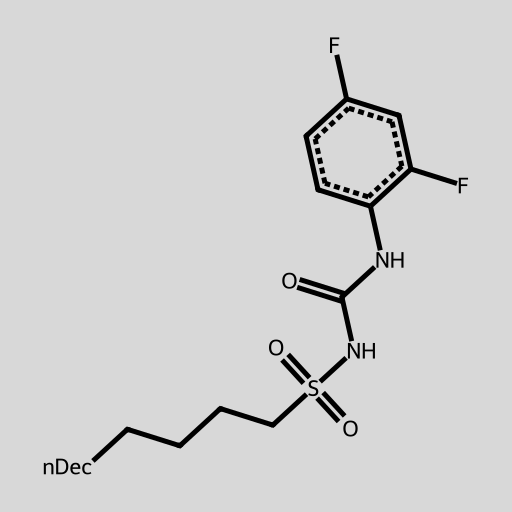 CCCCCCCCCCCCCCS(=O)(=O)NC(=O)Nc1ccc(F)cc1F